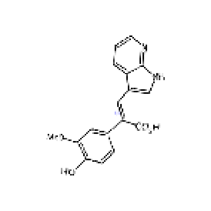 COc1cc(/C(=C/c2c[nH]c3ncccc23)C(=O)O)ccc1O